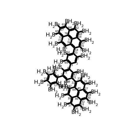 Bc1cc(-c2c(B)c(-c3c(B)c(B)c(B)c(B)c3B)c(B)c(-c3c(B)c(B)c4c(B)c(B)c5c(B)c(B)c(B)c6c(B)c(B)c3c4c56)c2B)c(B)c(B)c1-c1c(B)c(B)c2c(B)c(B)c3c(B)c(B)c(B)c4c(B)c(B)c1c2c34